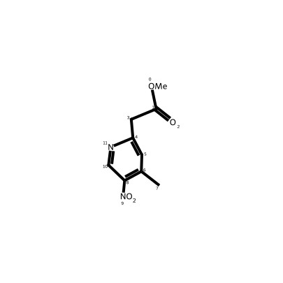 COC(=O)Cc1cc(C)c([N+](=O)[O-])cn1